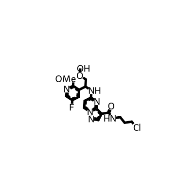 COc1ncc(F)cc1C(COO)Nc1ccn2ncc(C(=O)NCCCCl)c2n1